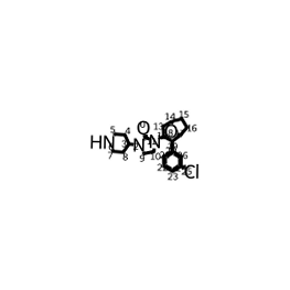 O=C1N(C2CCNCC2)CCN1C1CC2CCC(O2)C1c1cccc(Cl)c1